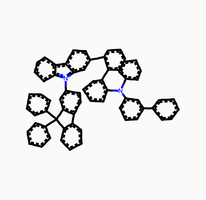 c1ccc(-c2cccc(N(c3ccccc3)c3ccccc3-c3ccccc3-c3ccc4c5ccccc5n(-c5ccc6c(c5)C(c5ccccc5)(c5ccccc5)c5ccccc5-6)c4c3)c2)cc1